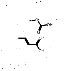 CC=CC(=O)O.COC(=O)O